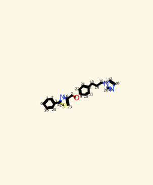 c1ccc(-c2nc(COc3ccc(CCCn4ccnc4)cc3)cs2)cc1